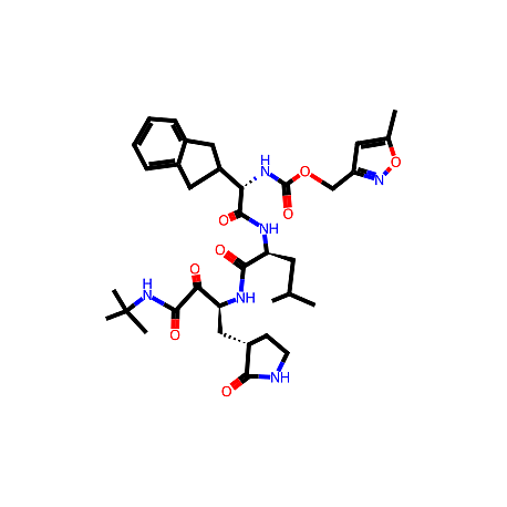 Cc1cc(COC(=O)N[C@H](C(=O)N[C@@H](CC(C)C)C(=O)N[C@@H](C[C@@H]2CCNC2=O)C(=O)C(=O)NC(C)(C)C)C2Cc3ccccc3C2)no1